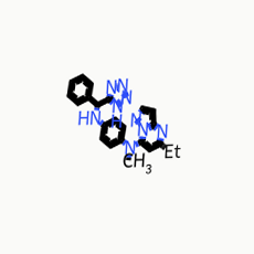 CCc1cc(N(C)c2ccc(NC(c3ccccc3)c3nnn[nH]3)cc2)n2nccc2n1